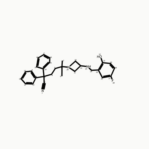 CC(C)(CCC(C#N)(c1ccccc1)c1ccccc1)N1CC(NCc2cc(F)ccc2O)C1